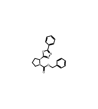 O=C(OCc1ccccc1)N1CCC[C@H]1c1nnc(-c2ccccc2)o1